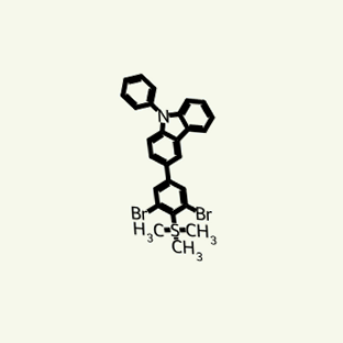 CS(C)(C)c1c(Br)cc(-c2ccc3c(c2)c2ccccc2n3-c2ccccc2)cc1Br